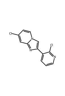 Clc1ccn2cc(-c3cccnc3Cl)nc2c1